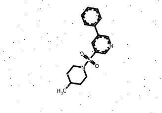 CC1CCN(S(=O)(=O)c2cncc(-c3ccccc3)c2)CC1